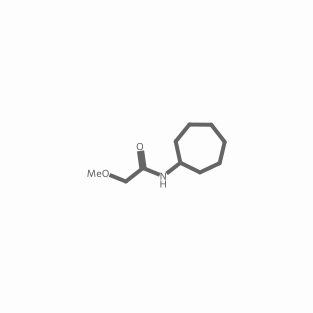 COCC(=O)NC1CCCCCC1